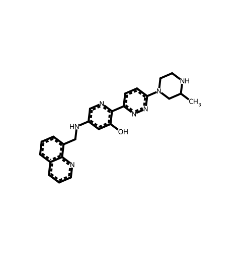 CC1CN(c2ccc(-c3ncc(NCc4cccc5cccnc45)cc3O)nn2)CCN1